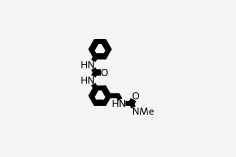 CNC(=O)NCc1cccc(NC(=O)Nc2ccccc2)c1